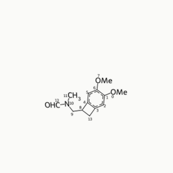 COc1cc2c(cc1OC)C(CN(C)C=O)C2